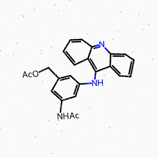 CC(=O)Nc1cc(COC(C)=O)cc(Nc2c3ccccc3nc3ccccc23)c1